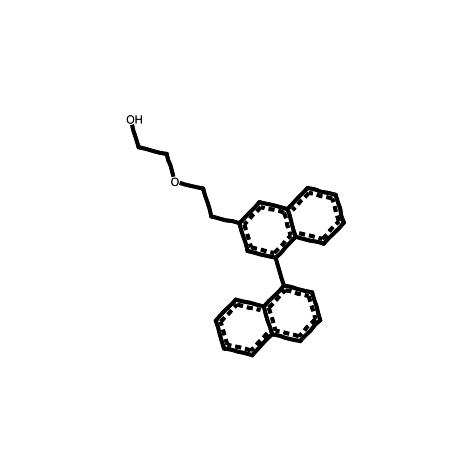 OCCOCCc1cc(-c2cccc3ccccc23)c2ccccc2c1